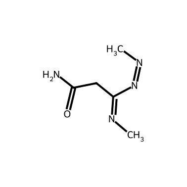 C/N=N\C(CC(N)=O)=N/C